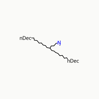 CCCCCCCCCCCCCCCCCCC(CCCCCCCCCCCCCCCCCC)CCCN(C)C